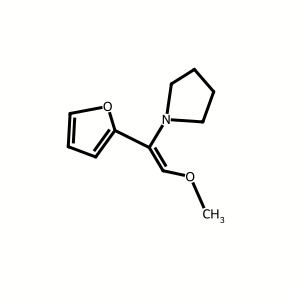 COC=C(c1ccco1)N1CCCC1